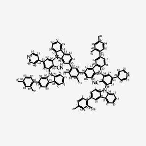 Cc1ccc(-c2ccc3c(c2)c2ccccc2n3-c2cc(-c3ccncc3)cc(-n3c4ccc(-c5ccc(C)cc5C)cc4c4cc(-c5cc(-c6ccc7c8ccccc8n(-c8cc(-c9ccncc9)cc(-n9c%10ccccc%10c%10ccc(-c%11ccc(C)cc%11C)cc%109)c8C#N)c7c6)c(C)cc5C)ccc43)c2C#N)c(C)c1